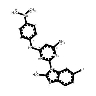 Cc1nc2ccc(F)cc2n1-c1nc(N)cc(Nc2ccc(N(C)C)cc2)n1